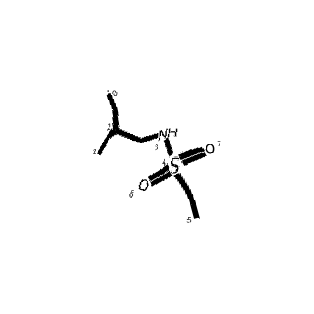 [CH2]C(C)NS(C)(=O)=O